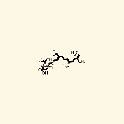 CC=C(C)CCC(C)=CCCC(=CCOCP(=O)(CP(=O)(O)O)OC(C)C)CC